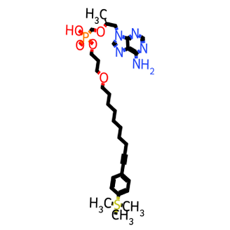 C[C@H](Cn1cnc2c(N)ncnc21)OCP(=O)(O)OCCCOCCCCCCCCC#Cc1ccc(S(C)(C)C)cc1